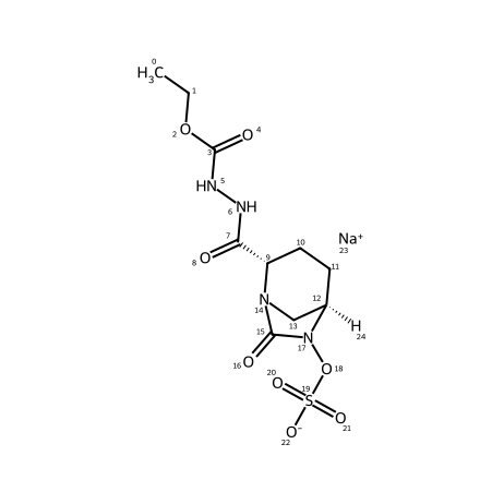 CCOC(=O)NNC(=O)[C@@H]1CC[C@@H]2CN1C(=O)N2OS(=O)(=O)[O-].[Na+]